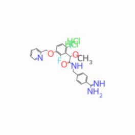 COC(C(=O)NCc1ccc(C(=N)N)cc1)c1c(F)ccc(OCc2ccccn2)c1F.Cl.Cl